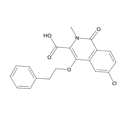 Cn1c(C(=O)O)c(OCCc2ccccc2)c2cc(Cl)ccc2c1=O